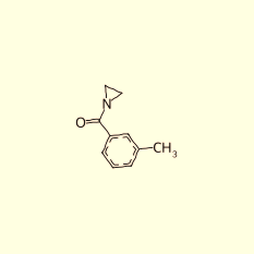 Cc1cccc(C(=O)N2CC2)c1